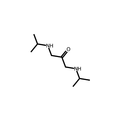 CC(C)NCC(=O)CNC(C)C